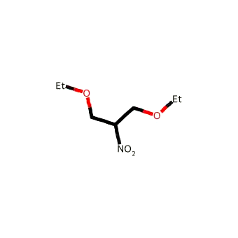 CCOCC(COCC)[N+](=O)[O-]